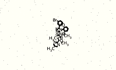 COc1cccc(O)c1-n1c(NS(=O)(=O)[C@@H](C)[C@H](OC)c2ncc(C)cn2)nnc1-c1c#ccc(Br)c1